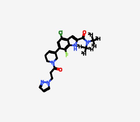 [2H]C([2H])([2H])N(C(=O)c1cc2c(Cl)cc(C3=CCCN(C(=O)CCn4cccn4)C3)c(F)c2[nH]1)C([2H])([2H])[2H]